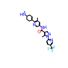 CNC1CC=C(c2ncc(NC(=O)c3cnn(-c4ccc(C(F)(F)F)cn4)c3C)cc2C)CC1